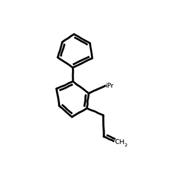 C=CCc1cccc(-c2ccccc2)c1C(C)C